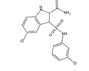 NC(=O)C1Nc2ccc(Cl)cc2C1S(=O)(=O)Nc1cccc(Cl)c1